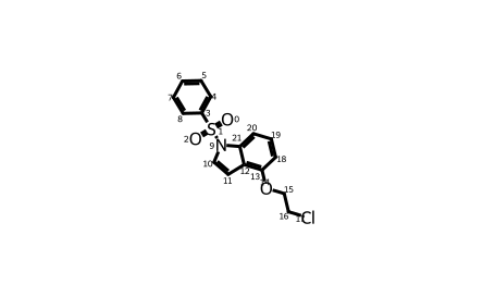 O=S(=O)(c1ccccc1)n1ccc2c(OCCCl)cccc21